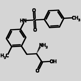 Cc1ccc(S(=O)(=O)Nc2ccc(C)c(C[C@H](N)C(=O)O)c2)cc1